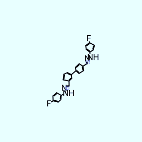 Fc1ccc(N/N=C/c2ccc(-c3cccc(/C=N/Nc4ccc(F)cc4)c3)cc2)cc1